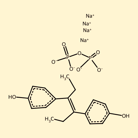 CC/C(=C(/CC)c1ccc(O)cc1)c1ccc(O)cc1.O=P([O-])([O-])OP(=O)([O-])[O-].[Na+].[Na+].[Na+].[Na+]